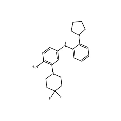 Nc1ccc(Nc2ccccc2N2CCCC2)cc1N1CCC(F)(F)CC1